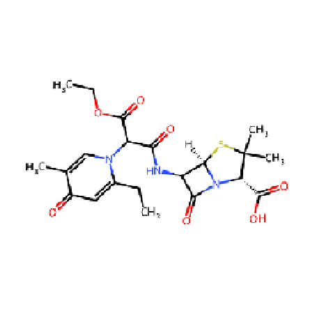 CCOC(=O)C(C(=O)N[C@@H]1C(=O)N2[C@@H]1SC(C)(C)[C@@H]2C(=O)O)n1cc(C)c(=O)cc1CC